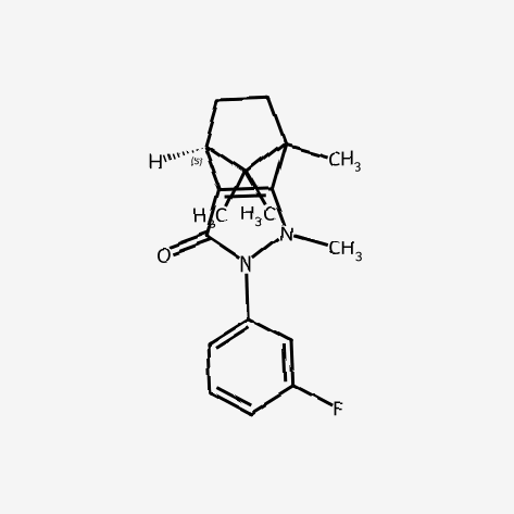 Cn1c2c(c(=O)n1-c1cccc(F)c1)[C@H]1CCC2(C)C1(C)C